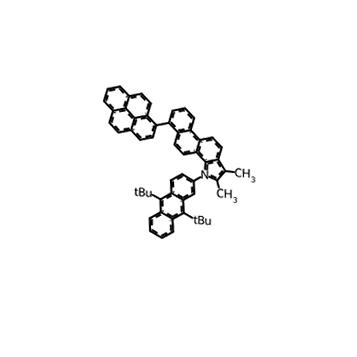 Cc1c(C)n(-c2ccc3c(C(C)(C)C)c4ccccc4c(C(C)(C)C)c3c2)c2c1ccc1c3cccc(-c4ccc5ccc6cccc7ccc4c5c67)c3ccc12